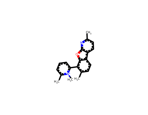 Cc1ccc2c(n1)oc1c(-c3cccc(C)[n+]3C)c(C)ccc12